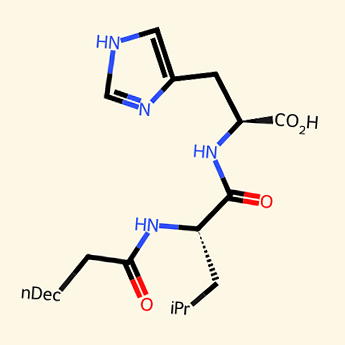 CCCCCCCCCCCC(=O)N[C@@H](CC(C)C)C(=O)N[C@@H](Cc1c[nH]cn1)C(=O)O